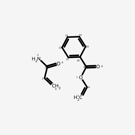 C=CC(N)=O.C=COC(=O)c1ccccc1